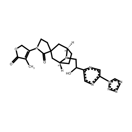 CC1=C(N2CCC3(C[C@H]4CC[C@H](C3)N4CC(O)c3cnc(-n4cnnn4)cn3)C2=O)COC1=O